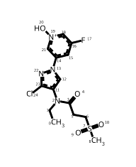 CCN(C(=O)CCS(C)(=O)=O)c1cn(-c2cc(F)c[n+](O)c2)nc1Cl